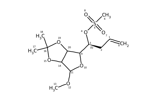 C=CC[C@H](OS(C)(=O)=O)C1OC(OC)C2OC(C)(C)OC21